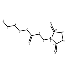 C=C(CCCCC)CCN1C(=O)CCC1=O